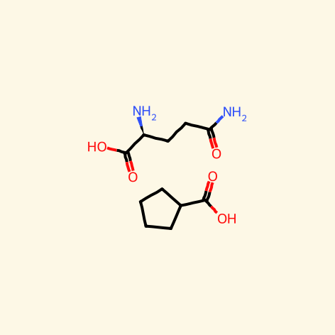 NC(=O)CC[C@H](N)C(=O)O.O=C(O)C1CCCC1